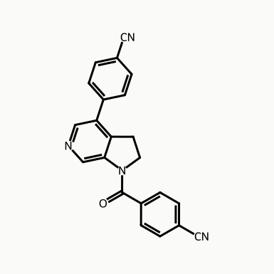 N#Cc1ccc(C(=O)N2CCc3c(-c4ccc(C#N)cc4)cncc32)cc1